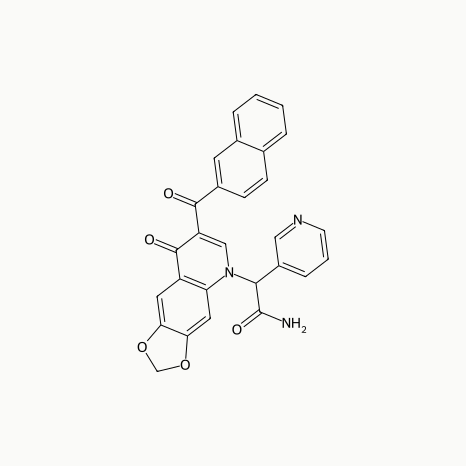 NC(=O)C(c1cccnc1)n1cc(C(=O)c2ccc3ccccc3c2)c(=O)c2cc3c(cc21)OCO3